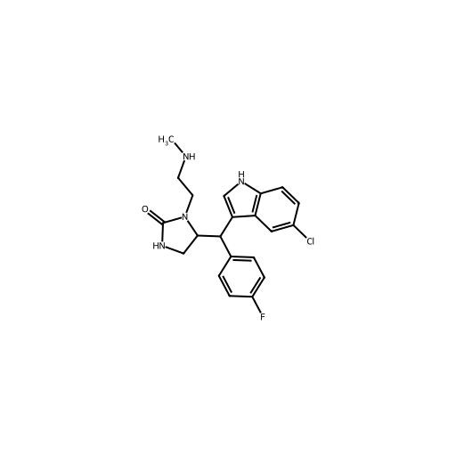 CNCCN1C(=O)NCC1C(c1ccc(F)cc1)c1c[nH]c2ccc(Cl)cc12